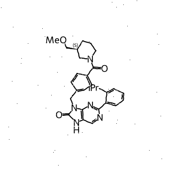 COC[C@H]1CCCN(C(=O)c2ccc(Cn3c(=O)[nH]c4cnc(-c5ccccc5C(C)C)nc43)cc2)C1